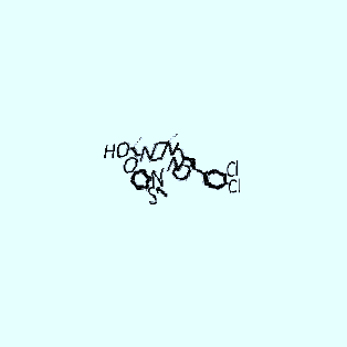 Cc1nc2cc(OC([C@@H](C)O)N3CCN(Cc4cc(-c5ccc(Cl)c(Cl)c5)on4)[C@@H](C)C3)ccc2s1